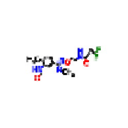 C=N/C(=N\OCCNC(=O)C1CC1(F)F)c1ccc(C)c(NC=O)c1